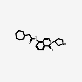 O=C(CC1CCCCCC1)Nc1cccc2c(=O)n(C3CCNC3)ccc12